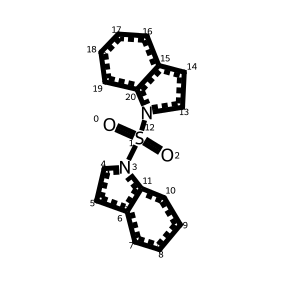 O=S(=O)(n1ccc2ccccc21)n1ccc2ccccc21